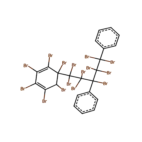 BrC1=C(Br)C(Br)C(Br)(C(Br)(Br)C(Br)(Br)C(Br)(c2ccccc2)C(Br)(Br)C(Br)(Br)c2ccccc2)C(Br)=C1Br